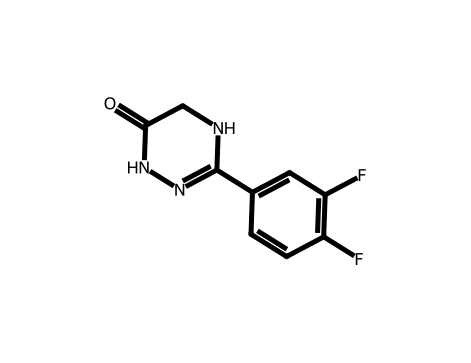 O=C1CNC(c2ccc(F)c(F)c2)=NN1